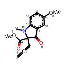 C=C=CC1(C(=O)OC)C(=O)c2cc(OC)ccc2N1C